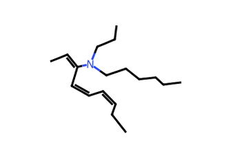 C\C=C(/C=C\C=C/CC)N(CCC)CCCCCC